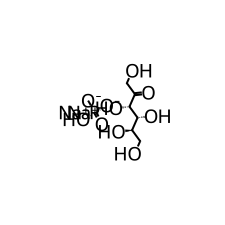 O=C(CO)[C@@H](O)[C@H](O)[C@H](O)CO.O=P([O-])([O-])O.[Na+].[Na+]